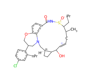 CCCc1cc(Cl)ccc1C1COc2ccc3cc2N(C1)C[C@@H]1CCC1C(O)/C=C/CC(C)C(CC(C)C)[S+]([O-])NC3=O